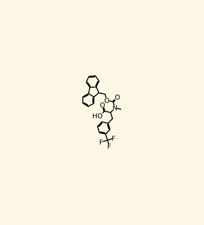 CN(C(=O)OCC1c2ccccc2-c2ccccc21)C(Cc1cccc(C(F)(F)F)c1)C(=O)O